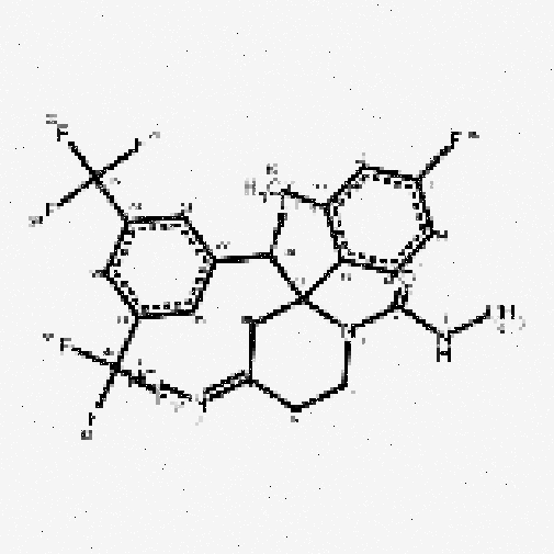 CNC(=O)N1CCC(=NO)CC1(c1ccc(F)cc1C)[C@H](C)c1cc(C(F)(F)F)cc(C(F)(F)F)c1